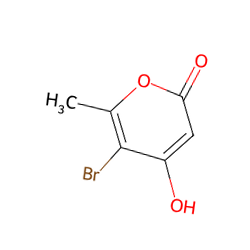 Cc1oc(=O)cc(O)c1Br